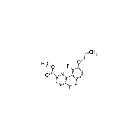 C=CCOc1ccc(F)c(-c2nc(C(=O)OC)ccc2F)c1F